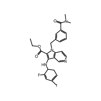 CCOC(=O)c1c(NC2CC=C(I)C=C2F)c2cnccc2n1Cc1cccc(C(=O)N(C)C)c1